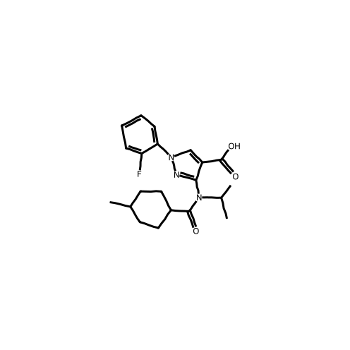 CC1CCC(C(=O)N(c2nn(-c3ccccc3F)cc2C(=O)O)C(C)C)CC1